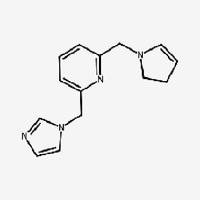 C1=CN(Cc2cccc(Cn3ccnc3)n2)CC1